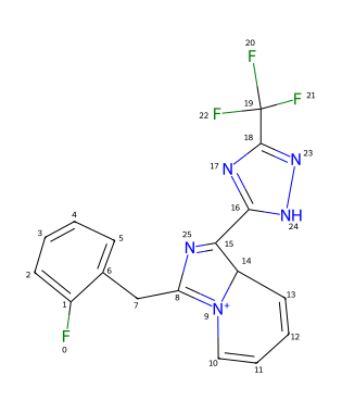 Fc1ccccc1CC1=[N+]2C=CC=CC2C(c2nc(C(F)(F)F)n[nH]2)=N1